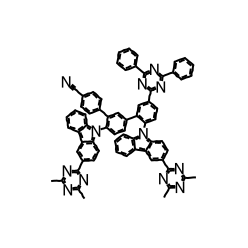 Cc1nc(C)nc(-c2ccc3c(c2)c2ccccc2n3-c2ccc(-c3nc(-c4ccccc4)nc(-c4ccccc4)n3)cc2-c2ccc(-n3c4ccccc4c4cc(-c5nc(C)nc(C)n5)ccc43)c(-c3ccc(C#N)cc3)c2)n1